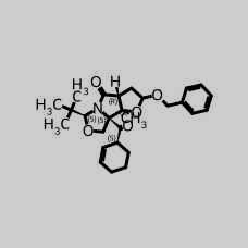 CC(C)(C)[C@@H]1OC[C@]2(C(=O)[C@@H]3C=CCCC3)N1C(=O)[C@@H]1CC(OCc3ccccc3)O[C@@]12C